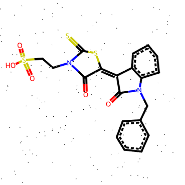 O=C1/C(=C2\C(=O)N(Cc3ccccc3)c3ccccc32)SC(=S)N1CCS(=O)(=O)O